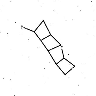 FC1CC2C1C1C3CCC3C21